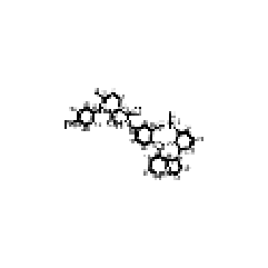 Cc1ccc(C(=O)Nc2ccc(Oc3ccnn4ccc(-c5cccc(N)c5)c34)c(F)c2)c(=O)n1-c1ccc(F)cc1